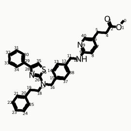 COC(=O)CCc1ccc(NCc2ccc(CN(CCc3ccccc3)c3nc(-c4ccccc4)cs3)cc2)nc1